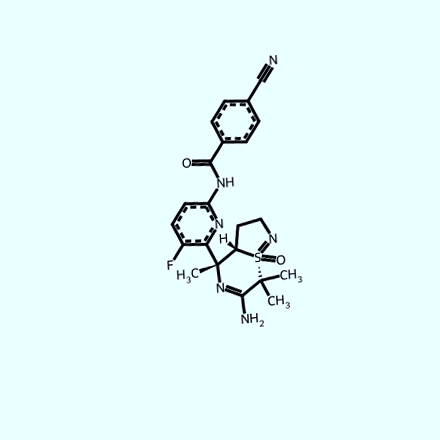 CC1(C)C(N)=N[C@](C)(c2nc(NC(=O)c3ccc(C#N)cc3)ccc2F)[C@@H]2CCN=[S@@]21=O